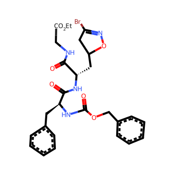 CCOC(=O)CNC(=O)[C@H](CC1CC(Br)=NO1)NC(=O)[C@H](Cc1ccccc1)NC(=O)OCc1ccccc1